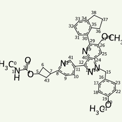 CNC(=O)OC1CC(c2ccc(-c3nn(Cc4ccc(OC)cc4)c4cc(OC)c(-c5cccc6c5CCC6)nc34)cn2)C1